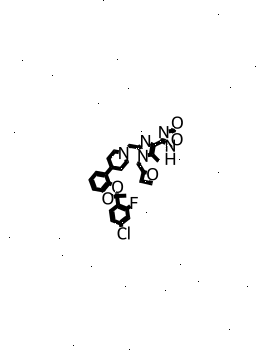 Cc1c(-c2nc(=O)o[nH]2)nc(CN2CCC(c3cccc4c3OC(C)(c3ccc(Cl)cc3F)O4)CC2)n1CC1CCO1